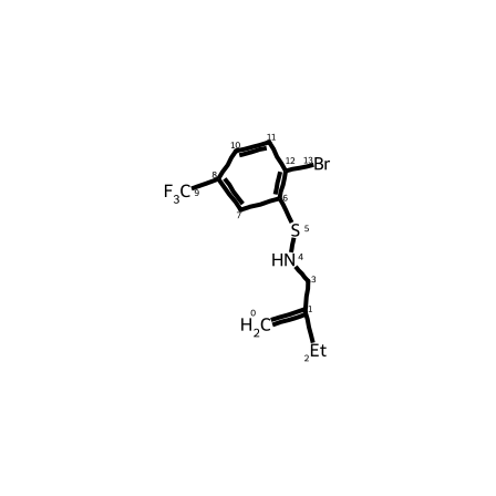 C=C(CC)CNSc1cc(C(F)(F)F)ccc1Br